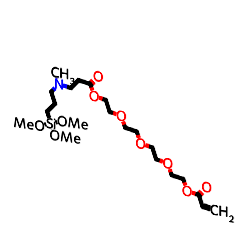 C=CC(=O)OCCOCCOCCOCCOC(=O)CCN(C)CCC[Si](OC)(OC)OC